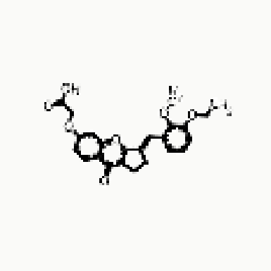 CCOc1cccc(C=C2CCc3c2oc2cc(OCC(=O)O)ccc2c3=O)c1OC